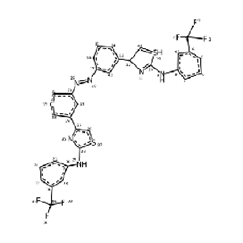 FC(F)(F)c1cccc(NC2=NC(c3cccc(/N=N/c4cccc(-c5csc(Nc6cccc(C(F)(F)F)c6)n5)c4)c3)C=[SH]2)c1